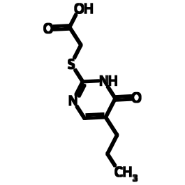 CCCc1cnc(SCC(=O)O)[nH]c1=O